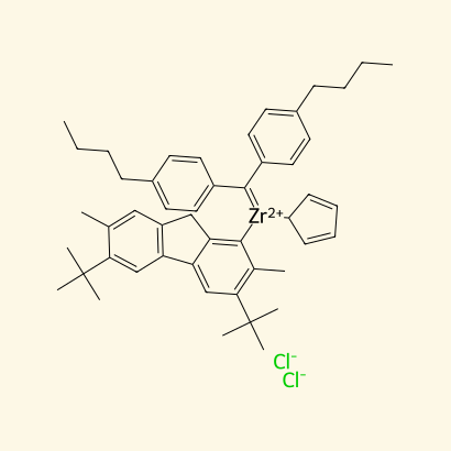 CCCCc1ccc([C](c2ccc(CCCC)cc2)=[Zr+2]([c]2c(C)c(C(C)(C)C)cc3c2Cc2cc(C)c(C(C)(C)C)cc2-3)[CH]2C=CC=C2)cc1.[Cl-].[Cl-]